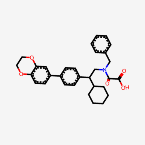 O=C(O)C(=O)N(Cc1ccccc1)CC(c1ccc(-c2ccc3c(c2)OCCO3)cc1)C1CCCCC1